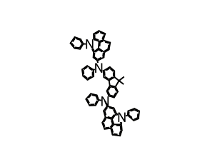 CC1(C)c2ccc(N(c3ccccc3)c3cc4ccc5cccc6c5c4c(c3)n6-c3ccccc3)cc2-c2cc(N(c3ccccc3)c3cc4ccc5cccc6c5c4c(c3)n6-c3ccccc3)ccc21